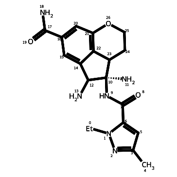 CCn1nc(C)cc1C(=O)N[C@@]1(N)C(N)c2cc(C(N)=O)cc3c2C1CCO3